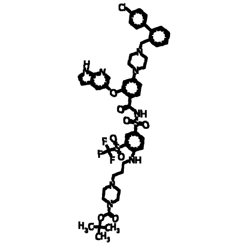 CC(C)(C)OC(=O)N1CCN(CCCNc2ccc(S(=O)(=O)NC(=O)c3ccc(N4CCN(Cc5ccccc5-c5ccc(Cl)cc5)CC4)cc3Oc3cnc4[nH]ccc4c3)cc2S(=O)(=O)C(F)(F)F)CC1